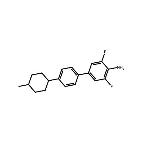 CC1CCC(c2ccc(-c3cc(F)c(N)c(F)c3)cc2)CC1